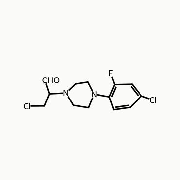 O=CC(CCl)N1CCN(c2ccc(Cl)cc2F)CC1